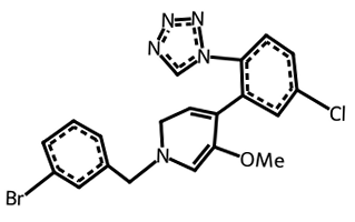 COC1=CN(Cc2cccc(Br)c2)CC=C1c1cc(Cl)ccc1-n1cnnn1